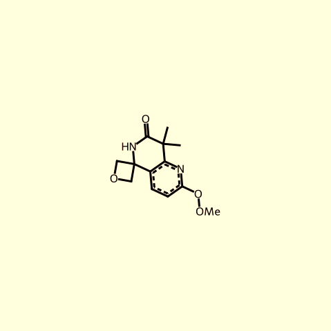 COOc1ccc2c(n1)C(C)(C)C(=O)NC21COC1